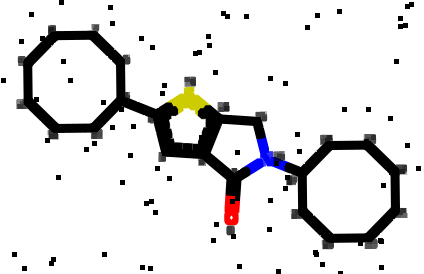 O=C1c2cc(C3CCCCCCC3)sc2CN1C1CCCCCCC1